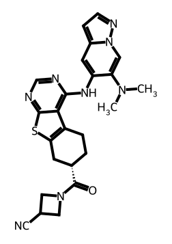 CN(C)c1cn2nccc2cc1Nc1ncnc2sc3c(c12)CC[C@H](C(=O)N1CC(C#N)C1)C3